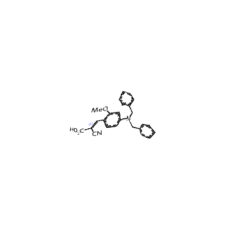 COc1cc(N(Cc2ccccc2)Cc2ccccc2)ccc1/C=C(\C#N)C(=O)O